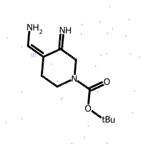 CC(C)(C)OC(=O)N1CC/C(=C/N)C(=N)C1